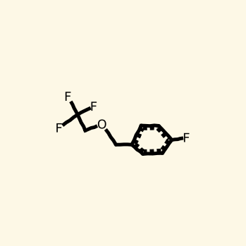 Fc1ccc(COCC(F)(F)F)cc1